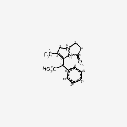 O=C(O)C(C1=C(C(F)(F)F)CN2CCC(=O)N12)c1ccccc1